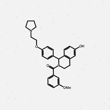 COc1cccc(C(=O)N2CCc3cc(O)ccc3C2c2ccc(OCCN3CCCC3)cc2)c1